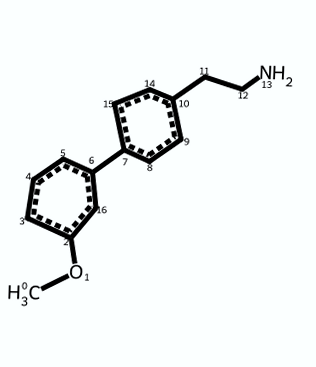 COc1cccc(-c2ccc(CCN)cc2)c1